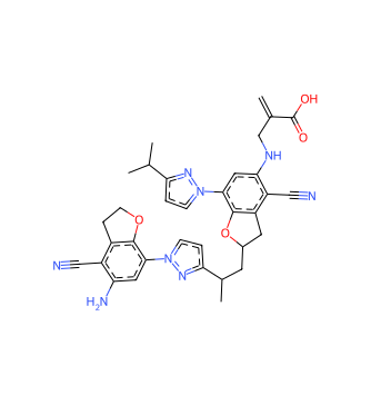 C=C(CNc1cc(-n2ccc(C(C)C)n2)c2c(c1C#N)CC(CC(C)c1ccn(-c3cc(N)c(C#N)c4c3OCC4)n1)O2)C(=O)O